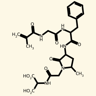 C=C(C)C(=O)NCC(=O)NC(Cc1ccccc1)C(=O)NC1CC(C)N(CC(=O)NC(C(=O)O)C(=O)O)C1=O